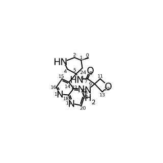 C[C@@H]1CNC[C@](NC(=O)C2(N)COC2)(c2ccnc3nccnc23)C1